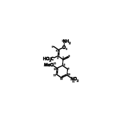 C=C(/C(C(=O)O)=C(/C)ON)C1CC([N+](=O)[O-])=CC=C1OC